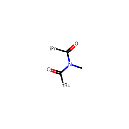 CC(C)C(=O)N(C)C(=O)C(C)(C)C